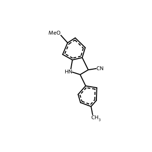 COc1ccc2c(c1)NC(c1ccc(C)cc1)C2C#N